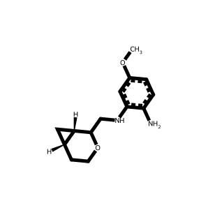 COc1ccc(N)c(NCC2OCC[C@@H]3C[C@H]23)c1